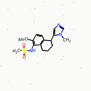 COc1ccc2c(c1NS(C)(=O)=O)CCCC2c1cncn1C